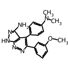 COc1cccc(-c2nnc3[nH]nc(N)c3c2-c2ccc(N(C)C)cc2)c1